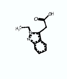 CCn1nc2ccccc2c1CC(=O)O